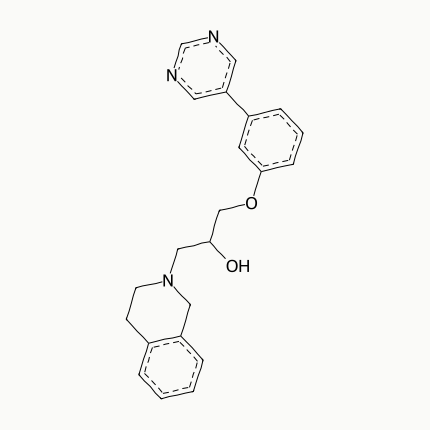 OC(COc1cccc(-c2cncnc2)c1)CN1CCc2ccccc2C1